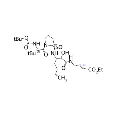 C=CCCC(NC(=O)[C@@H]1CCCN1C(=O)[C@@H](NC(=O)OC(C)(C)C)C(C)(C)C)C(O)C(=O)NC/C=C/C(=O)OCC